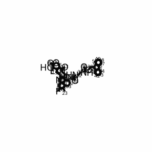 CC[C@@]1(O)C(=O)OCc2c1cc1n(c2=O)Cc2c-1nc1cc(F)c(C)c3c1c2[C@@H](NC(=O)NCCNC(=O)OCC1c2ccccc2-c2ccccc21)CC3